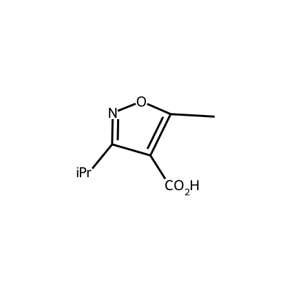 Cc1onc(C(C)C)c1C(=O)O